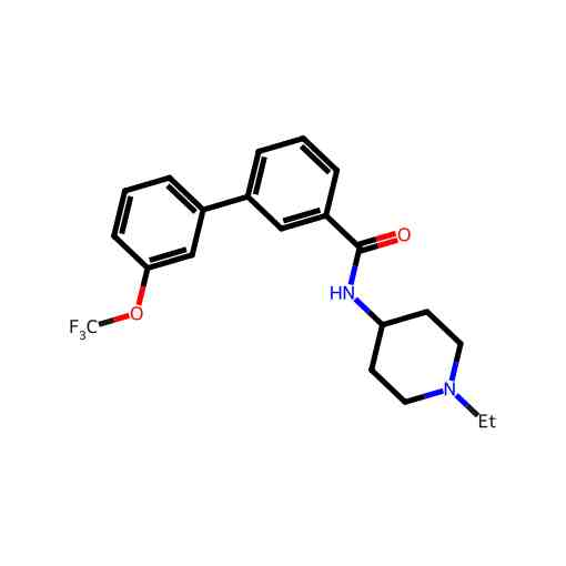 CCN1CCC(NC(=O)c2cccc(-c3cccc(OC(F)(F)F)c3)c2)CC1